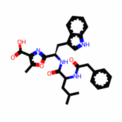 Cc1oc([C@@H](Cc2c[nH]c3ccccc23)NC(=O)C(CC(C)C)NC(=O)Cc2ccccc2)nc1C(=O)O